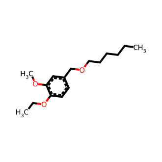 CCCCCCOCc1ccc(OCC)c(OC)c1